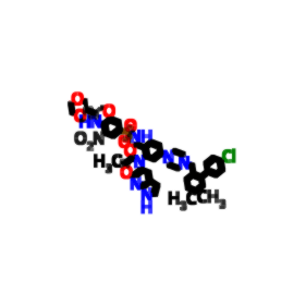 C[C@@H]1CN(c2cc(N3CCN(CC4=C(c5ccc(Cl)cc5)CC(C)(C)CC4)CC3)ccc2C(=O)NS(=O)(=O)c2cc3c(c([N+](=O)[O-])c2)N[C@H]([C@@H]2COCCO2)CO3)c2cc3cc[nH]c3nc2O1